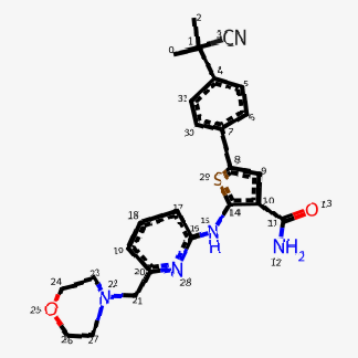 CC(C)(C#N)c1ccc(-c2cc(C(N)=O)c(Nc3cccc(CN4CCOCC4)n3)s2)cc1